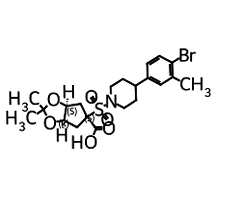 Cc1cc(C2CCN(S(=O)(=O)[C@@]3(C(=O)O)C[C@@H]4OC(C)(C)O[C@@H]4C3)CC2)ccc1Br